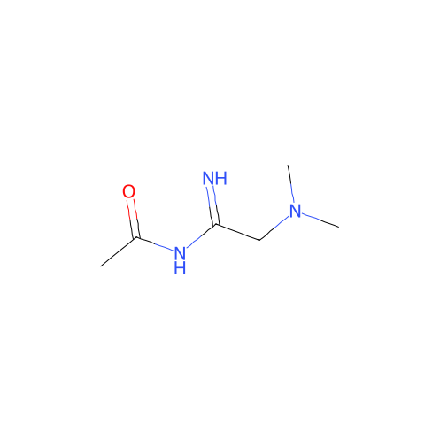 CC(=O)NC(=N)CN(C)C